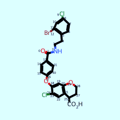 O=C(NCCc1ccc(Cl)cc1Br)c1ccc(Oc2cc3c(cc2Cl)C(C(=O)O)CCO3)cc1